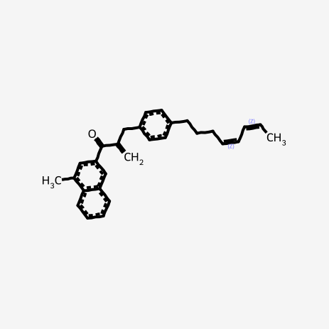 C=C(Cc1ccc(CCC/C=C\C=C/C)cc1)C(=O)c1cc(C)c2ccccc2c1